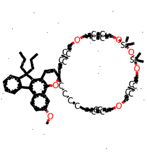 CCCC1(CCC)c2ccccc2-c2c1c1c(c3cc(OC)ccc23)OC2(C=C1)CCCCc1ccc(cc1)Oc1ccc(cc1)O[Si](C)(C)O[Si](C)(C)Oc1ccc(cc1)Oc1ccc2cc1